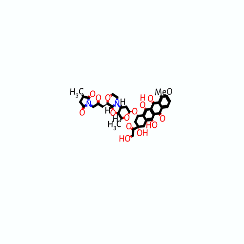 COc1cccc2c1C(=O)c1c(O)c3c(c(O)c1C2=O)C[C@@](O)(C(=O)CO)C[C@@H]3O[C@H]1C[C@H]2[C@H](O[C@@H]3[C@@H](CC(=O)CN4C(=O)CC(C)C4=O)OCCN32)[C@H](C)O1